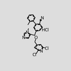 Cc1ccccc1-c1cc(C(OCc2cc(Cl)nc(Cl)c2)c2cncn2C)ccc1C#N.Cl